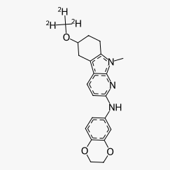 [2H]C([2H])([2H])OC1CCc2c(c3ccc(Nc4ccc5c(c4)OCCO5)nc3n2C)C1